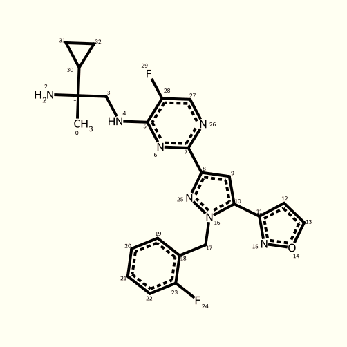 CC(N)(CNc1nc(-c2cc(-c3ccon3)n(Cc3ccccc3F)n2)ncc1F)C1CC1